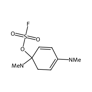 CNC1=CCC(NC)(OS(=O)(=O)F)C=C1